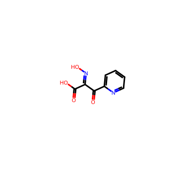 O=C(O)C(=NO)C(=O)c1ccccn1